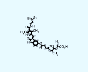 CCN(CC)CCNC(=O)c1c(C)[nH]c(/C=C2\C(=O)Nc3ccc(OC(=O)CCC(=O)O[C@@H](C)C(=O)O[C@H](C)C(=O)O)cc32)c1C